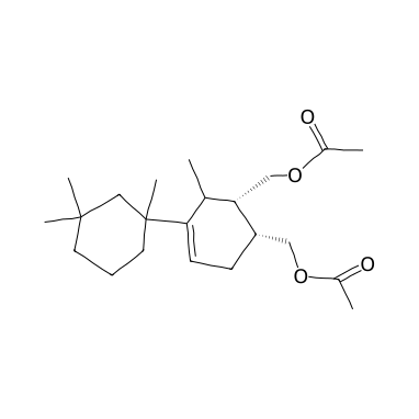 CC(=O)OC[C@@H]1CC=C(C2(C)CCCC(C)(C)C2)C(C)[C@@H]1COC(C)=O